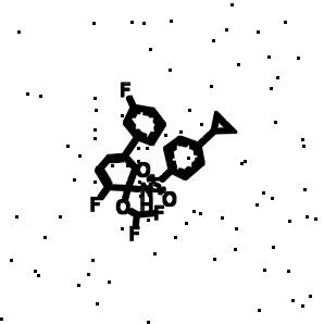 O=S(=O)(NC1(OC(F)F)CC(c2cccc(F)c2)=CC=C1F)c1ccc(C2CC2)cc1